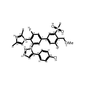 COCc1c(F)cc(-c2cc(F)c(-n3cc(C)nc3C)c(-n3nncc3-c3ccc(Cl)cc3)c2)cc1S(C)(=O)=O